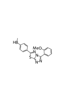 CBc1ccc(-c2nn3c(-c4ccccc4OC)nnc3s2)cc1